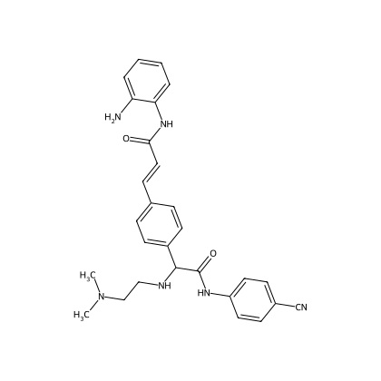 CN(C)CCNC(C(=O)Nc1ccc(C#N)cc1)c1ccc(C=CC(=O)Nc2ccccc2N)cc1